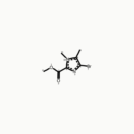 COC(=O)c1nc(Br)c(C)n1C